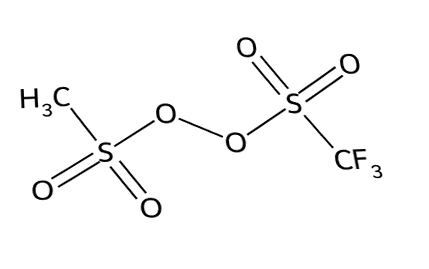 CS(=O)(=O)OOS(=O)(=O)C(F)(F)F